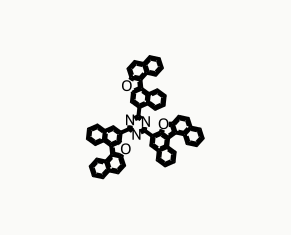 c1ccc2c(c1)ccc1oc3cc(-c4nc(-c5cc6ccccc6c6c5oc5ccc7ccccc7c56)nc(-c5cc6ccccc6c6c5oc5ccc7ccccc7c56)n4)c4ccccc4c3c12